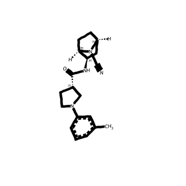 Cc1cccc(N2CC[C@H](C(=O)N[C@@H]3C[C@@H]4CC[C@H]3N4C#N)C2)c1